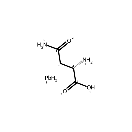 NC(=O)C[C@H](N)C(=O)O.[PbH2]